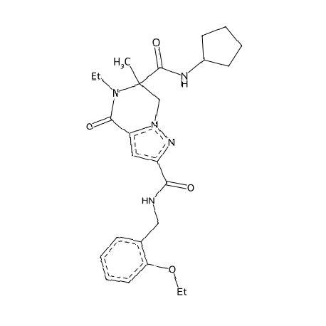 CCOc1ccccc1CNC(=O)c1cc2n(n1)CC(C)(C(=O)NC1CCCC1)N(CC)C2=O